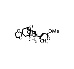 COC(=O)C=C(C)C=CC12OC1(C)CC1(CC2(C)C)OCCO1